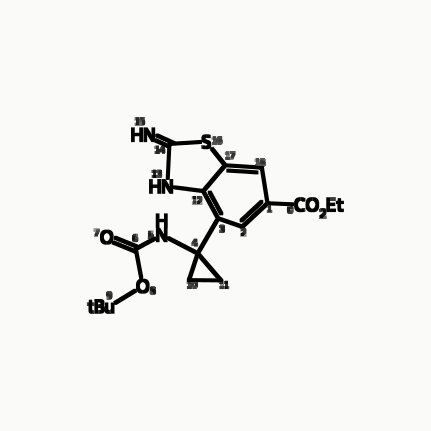 CCOC(=O)c1cc(C2(NC(=O)OC(C)(C)C)CC2)c2[nH]c(=N)sc2c1